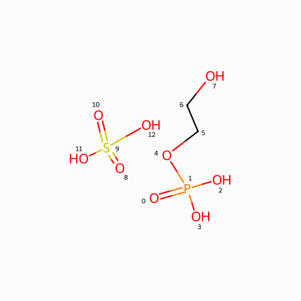 O=P(O)(O)OCCO.O=S(=O)(O)O